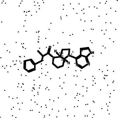 CC(Cc1ccccc1)C(=O)N1CCC[C@@H]2[C@H]1CCN2c1ncnc2[nH]ccc12